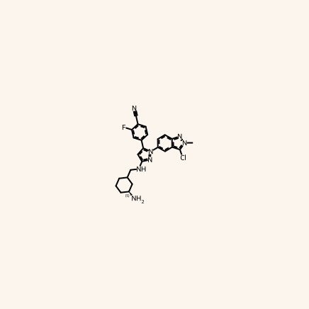 Cn1nc2ccc(-n3nc(NCC4CCC[C@H](N)C4)cc3-c3ccc(C#N)c(F)c3)cc2c1Cl